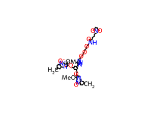 C=C1CC=C2C(C1)Cn1cc(OCc3cc(COc4cn5c(c4OC)C=[N+]([O-])C4=CCC(=C)CC4C5)cc(-c4cn(CCOCCOCCOCCNC(=O)CCCCCN5C(=O)C=CC5=O)nn4)c3)c(OC)c1C=[N+]2[O-]